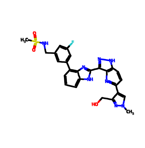 Cn1cc(-c2ccc3[nH]nc(-c4nc5c(-c6cc(F)cc(CNS(C)(=O)=O)c6)cccc5[nH]4)c3n2)c(CO)n1